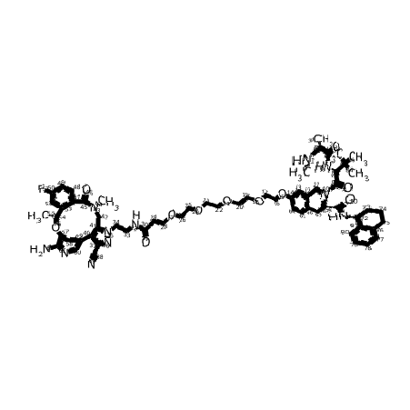 CN[C@H](C)C(=O)N[C@@H](C(=O)N1Cc2cc(OCCOCCOCCOCCOCCC(=O)NCCn3nc(C#N)c4c3CN(C)C(=O)c3ccc(F)cc3[C@@H](C)Oc3cc-4cnc3N)ccc2C[C@@H]1C(=O)N[C@H]1CCCc2ccccc21)C(C)(C)C